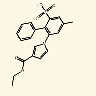 CCOC(=O)c1ccn(-c2cc(C)cc(S(=O)(=O)O)c2-c2ccccc2)c1